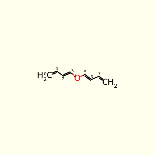 C=CC=COC=CC=C